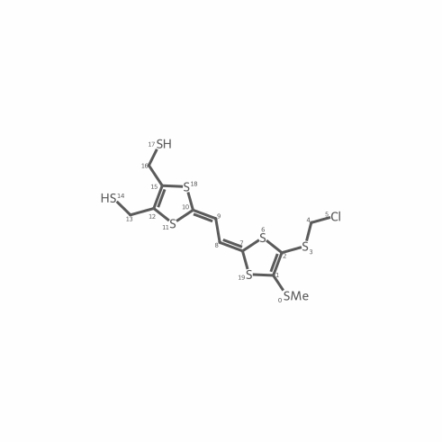 CSC1=C(SCCl)SC(=CC=C2SC(CS)=C(CS)S2)S1